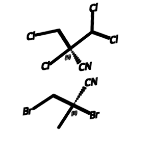 C[C@@](Br)(C#N)CBr.N#C[C@](Cl)(CCl)C(Cl)Cl